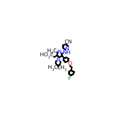 Cc1nc(Nc2ccc(C#N)cn2)c(-c2ccc(OCCc3ccc(F)cc3)cc2)c(N2CCC(C)(C)CC2)c1CC(=O)O